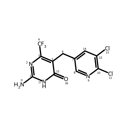 Nc1nc(C(F)(F)F)c(Cc2cnc(Cl)c(Cl)c2)c(=O)[nH]1